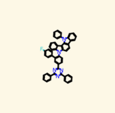 Fc1ccc(-c2cc(-c3nc(-c4ccccc4)nc(-c4ccccc4)n3)ccc2-n2c3ccccc3c3c2ccc2c4ccccc4n(-c4ccccc4)c23)cc1